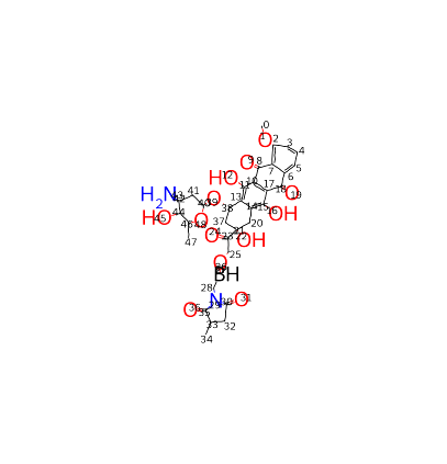 COc1cccc2c1C(=O)c1c(O)c3c(c(O)c1C2=O)C[C@@](O)(C(=O)COBCN1C(=O)CC(C)C1=O)C[C@@H]3OC1CC(N)C(O)C(C)O1